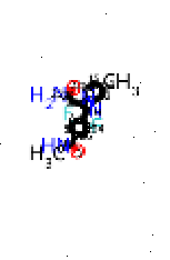 CNC(=O)c1cc(F)c(-c2nc3cc(C)ccn3c2CC(N)=O)c(F)c1